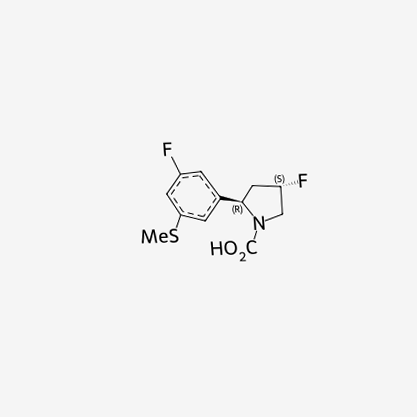 CSc1cc(F)cc([C@H]2C[C@H](F)CN2C(=O)O)c1